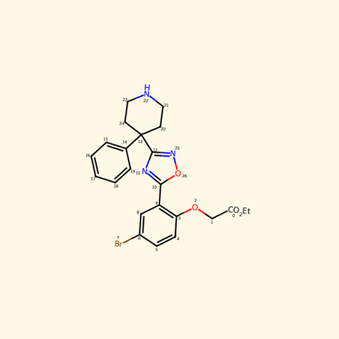 CCOC(=O)COc1ccc(Br)cc1-c1nc(C2(c3ccccc3)CCNCC2)no1